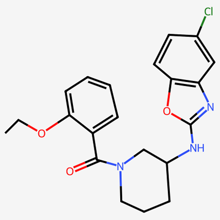 CCOc1ccccc1C(=O)N1CCCC(Nc2nc3cc(Cl)ccc3o2)C1